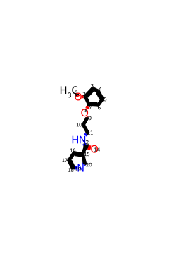 COc1c[c]ccc1OCCCNC(=O)c1cccnc1